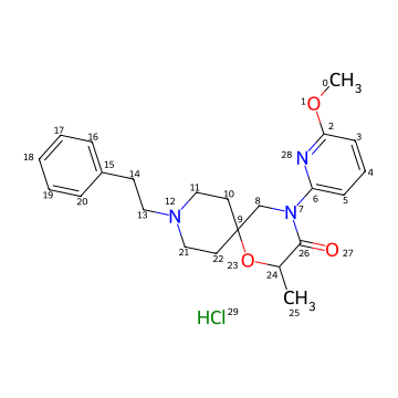 COc1cccc(N2CC3(CCN(CCc4ccccc4)CC3)OC(C)C2=O)n1.Cl